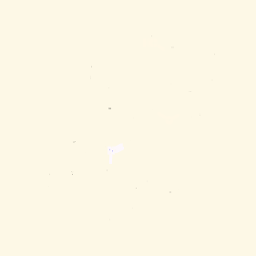 COc1c(C2=Nc3c(C(C)C)cccc3C(C)C2)cc(C)cc1-c1ccccc1O